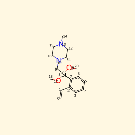 C=Cc1ccccc1[Si](CN1CCN(C)CC1)(OC)OC